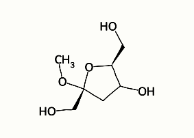 CO[C@@]1(CO)CC(O)[C@H](CO)O1